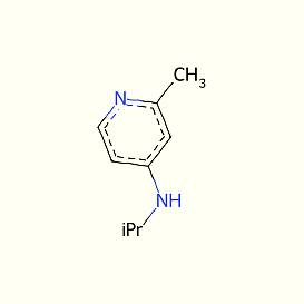 Cc1cc(NC(C)C)ccn1